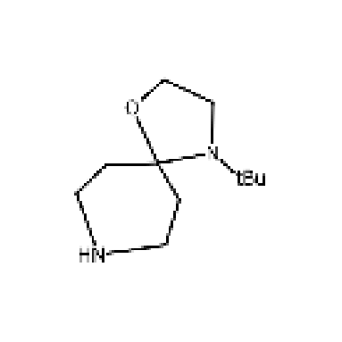 CC(C)(C)N1CCOC12CCNCC2